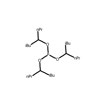 CCCC(OP(OC(CCC)C(C)CC)OC(CCC)C(C)CC)C(C)CC